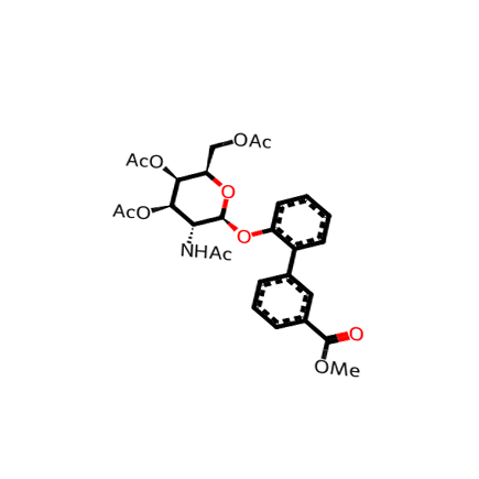 COC(=O)c1cccc(-c2ccccc2O[C@@H]2O[C@H](COC(C)=O)[C@H](OC(C)=O)[C@H](OC(C)=O)[C@H]2NC(C)=O)c1